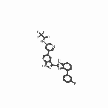 O=C(Nc1cncc(-c2cnc3[nH]nc(-c4nc5c(-c6cccc(F)c6)cccc5[nH]4)c3c2)c1)C(F)(F)F